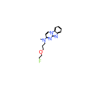 CN(CCCOCCF)c1ccn2c(n1)nc1ccccc12